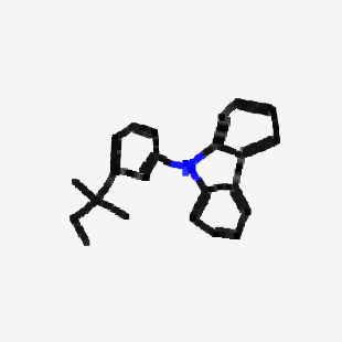 CCC(C)(C)c1cccc(-n2c3ccccc3c3ccccc32)c1